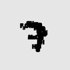 COc1nc(-c2ccnc(-c3cccc(NC(=O)c4nc5c(n4C)CCN(C[C@H](O)C(F)(F)F)C5)c3Cl)c2Cl)ccc1CNC[C@@H]1CCC(=O)N1